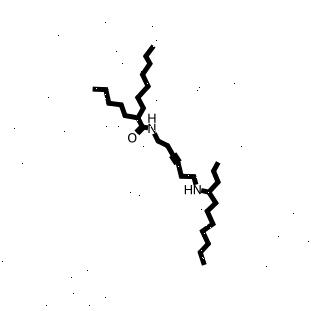 CCCCCCCC(CCC)NCCC#CCCNC(=O)C(CCCCC)CCCCCCC